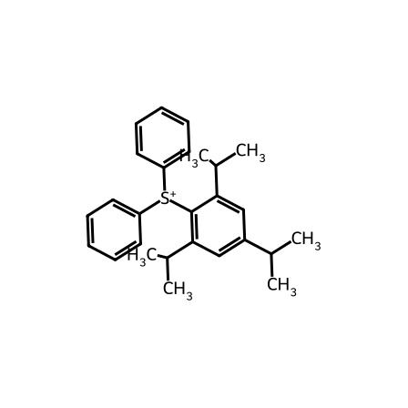 CC(C)c1cc(C(C)C)c([S+](c2ccccc2)c2ccccc2)c(C(C)C)c1